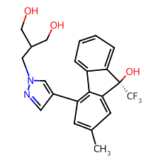 Cc1cc(-c2cnn(CC(CO)CO)c2)c2c(c1)[C@@](O)(C(F)(F)F)c1ccccc1-2